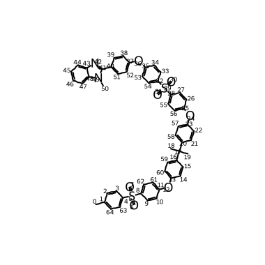 Cc1ccc(S(=O)(=O)c2ccc(Oc3ccc(C(C)(C)c4ccc(Oc5ccc(S(=O)(=O)c6ccc(Oc7ccc(-c8nc9ccccc9n8C)cc7)cc6)cc5)cc4)cc3)cc2)cc1